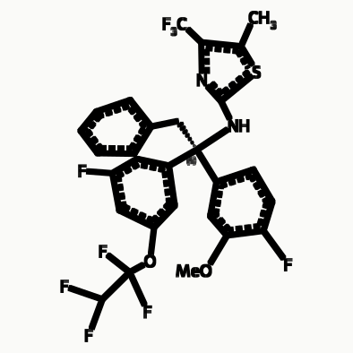 COc1cc([C@](Cc2ccccc2)(Nc2nc(C(F)(F)F)c(C)s2)c2cc(F)cc(OC(F)(F)C(F)F)c2)ccc1F